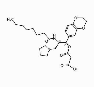 CCCCCCCC(=O)N[C@H](CN1CCCC1)[C@H](OC(=O)CC(=O)O)c1ccc2c(c1)OCCO2